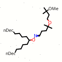 CCCCCCCCCCCCCCC(CCCCCCCCCCCCCC)O/N=C/CCC(C)(C)OCCC(C)(C)OC